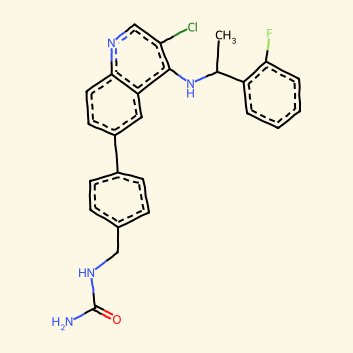 CC(Nc1c(Cl)cnc2ccc(-c3ccc(CNC(N)=O)cc3)cc12)c1ccccc1F